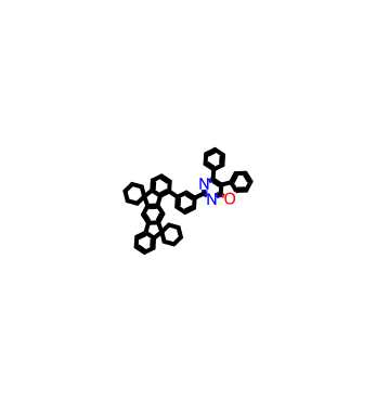 c1ccc(-c2nc(-c3cccc(-c4cccc5c4-c4cc6c(cc4C54CCCCC4)-c4ccccc4C64CCCCC4)c3)nc3oc4ccccc4c23)cc1